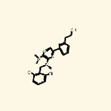 CN(C)c1ncc(-c2cccc(CCO)c2)nc1N(C)Cc1c(Cl)cccc1Cl